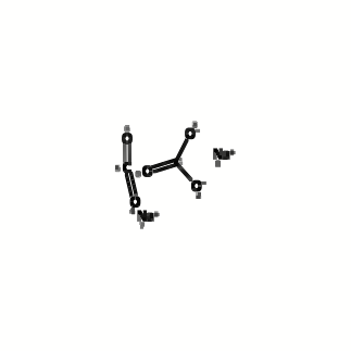 O=C([O-])[O-].O=C=O.[Na+].[Na+]